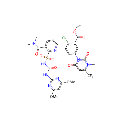 CC(C)OC(=O)c1cc(-n2c(=O)cc(C(F)(F)F)n(C)c2=O)ccc1Cl.COc1cc(OC)nc(NC(=O)NS(=O)(=O)c2ncccc2C(=O)N(C)C)n1